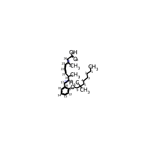 CCCCCCC(C)(C)COc1ccccc1/C=C/C(C)C=C=C/C(C)=C/C(=O)O